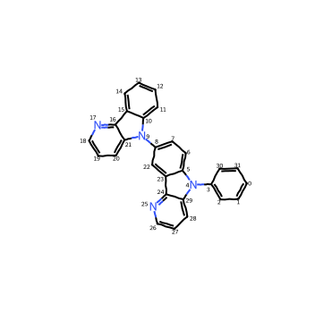 c1ccc(-n2c3ccc(-n4c5ccccc5c5ncccc54)cc3c3ncccc32)cc1